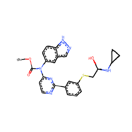 CC(C)(C)OC(=O)N(c1ccc2[nH]ncc2c1)c1ccnc(-c2cccc(SCC(O)NC3CC3)c2)n1